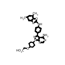 Cc1cc(C)c2oc(Nc3ccc(-c4nn(C5CCC(OCC(=O)O)CC5)c5ncnc(N)c45)cc3)nc2c1